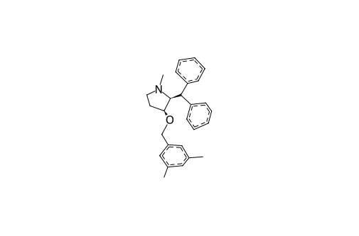 Cc1cc(C)cc(CO[C@H]2CCN(C)[C@H]2C(c2ccccc2)c2ccccc2)c1